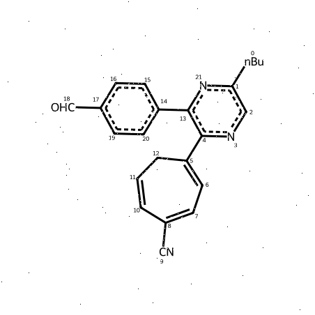 CCCCc1cnc(C2=CC=C(C#N)C=CC2)c(-c2ccc(C=O)cc2)n1